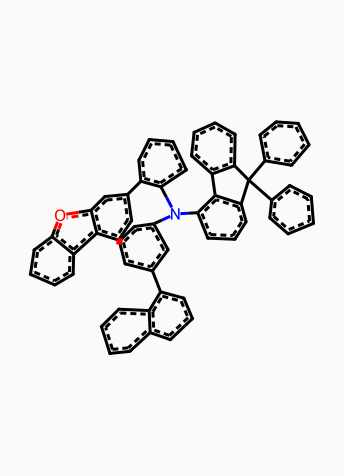 c1ccc(C2(c3ccccc3)c3ccccc3-c3c(N(c4cccc(-c5cccc6ccccc56)c4)c4ccccc4-c4ccc5c(c4)oc4ccccc45)cccc32)cc1